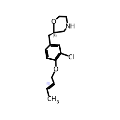 C/C=C/COc1ccc(C[C@@H]2CNCCO2)cc1Cl